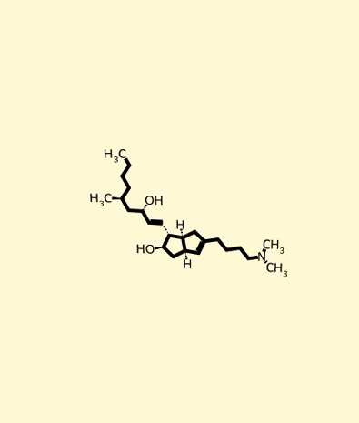 CCCC[C@H](C)C[C@H](O)/C=C/[C@@H]1[C@H]2CC(CCCCN(C)C)=C[C@H]2C[C@H]1O